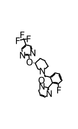 O=C(c1cccc(F)c1-c1ncccn1)N1CCC[C@@H](Oc2ncc(C(F)(F)F)cn2)C1